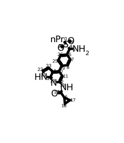 CCCS(=O)(=O)C(N)c1ccc(-c2cc(NC(=O)C3CC3)nc3[nH]ccc23)cc1